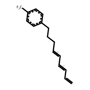 [CH]=C/C=C/C=C/CCCc1ccc(C(F)(F)F)cc1